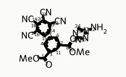 COC(=O)c1cccc(C(=O)OC)c1.N#Cc1ccc(C#N)c(C#N)c1C#N.Nn1cnnn1